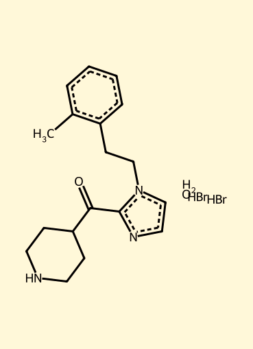 Br.Br.Cc1ccccc1CCn1ccnc1C(=O)C1CCNCC1.O